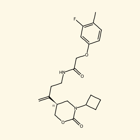 C=C(CCNC(=O)COc1ccc(C)c(F)c1)[C@@H]1COC(=O)N(C2CCC2)C1